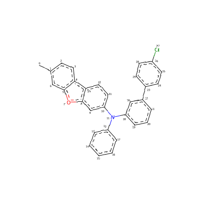 Cc1ccc2c(c1)oc1cc(N(c3ccccc3)c3cccc(-c4ccc(Cl)cc4)c3)ccc12